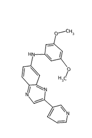 COc1cc(Nc2ccc3ncc(-c4cccnc4)nc3c2)cc(OC)c1